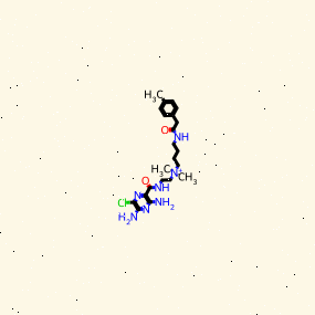 Cc1ccc(CC(=O)NCCCC[N+](C)(C)CCNC(=O)c2nc(Cl)c(N)nc2N)cc1